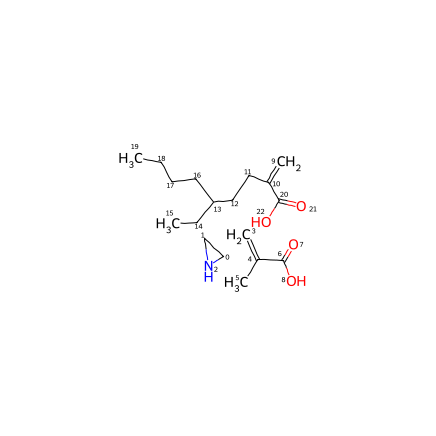 C1CN1.C=C(C)C(=O)O.C=C(CCC(CC)CCCC)C(=O)O